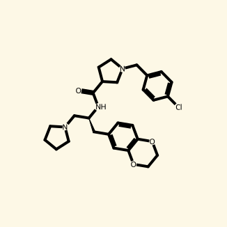 O=C(N[C@@H](Cc1ccc2c(c1)OCCO2)CN1CCCC1)C1CCN(Cc2ccc(Cl)cc2)C1